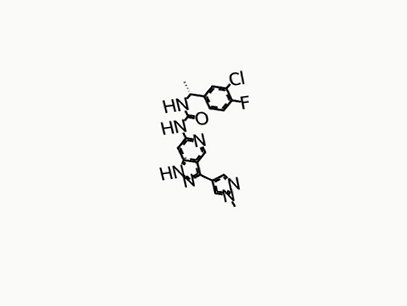 C[C@@H](NC(=O)Nc1cc2[nH]nc(-c3cnn(C)c3)c2cn1)c1ccc(F)c(Cl)c1